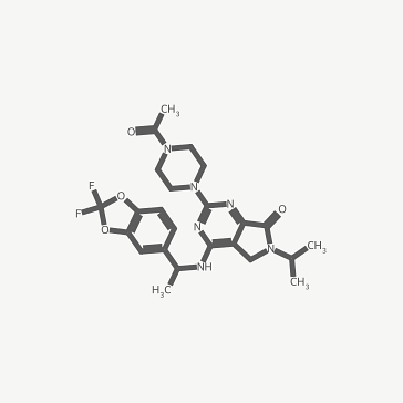 CC(=O)N1CCN(c2nc(NC(C)c3ccc4c(c3)OC(F)(F)O4)c3c(n2)C(=O)N(C(C)C)C3)CC1